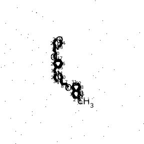 Cc1ccc2c(OCCN3CCN(Cc4cccc(OCCN5CCOCC5)c4)CC3)cccc2n1